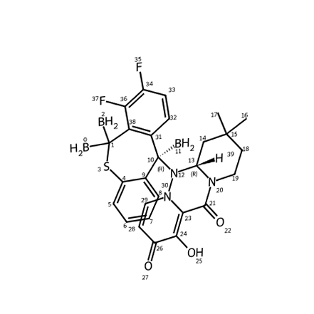 BC1(B)Sc2ccccc2[C@](B)(N2[C@@H]3CC(C)(C)CCN3C(=O)c3c(O)c(=O)ccn32)c2ccc(F)c(F)c21